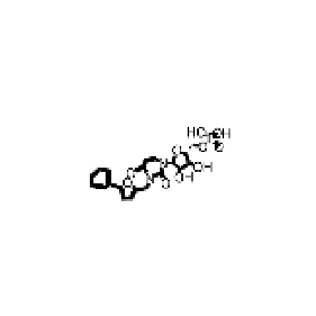 O=c1ccn([C@@H]2O[C@H](COP(=O)(O)O)C(O)C2O)c(=O)n1Cc1ccc(-c2ccccc2)o1